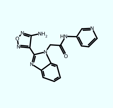 Nc1nonc1-c1nc2ccccc2n1CC(=O)Nc1cccnc1